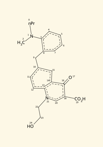 CCCN(C)c1ccccc1Cc1ccc2c(c1)c(=O)c(C(=O)O)cn2CCO